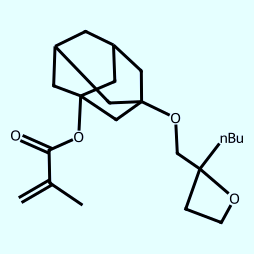 C=C(C)C(=O)OC12CC3CC(CC(OCC4(CCCC)CCO4)(C3)C1)C2